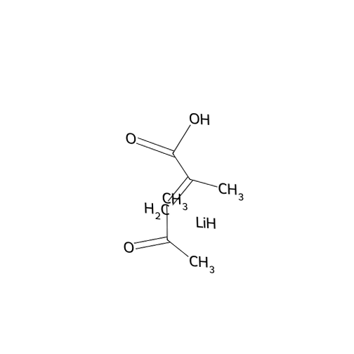 C=C(C)C(=O)O.CC(C)=O.[LiH]